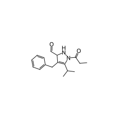 CCC(=O)N1NC(C=O)C(Cc2ccccc2)=C1C(C)C